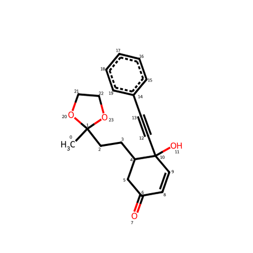 CC1(CCC2CC(=O)C=CC2(O)C#Cc2ccccc2)OCCO1